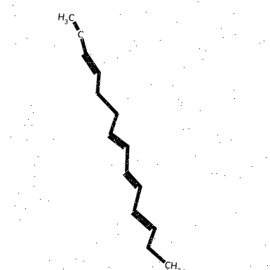 CCC=CC=CC=CCCC=CCC